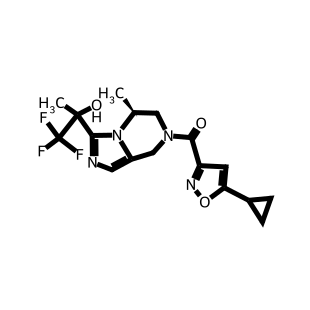 C[C@H]1CN(C(=O)c2cc(C3CC3)on2)Cc2cnc(C(C)(O)C(F)(F)F)n21